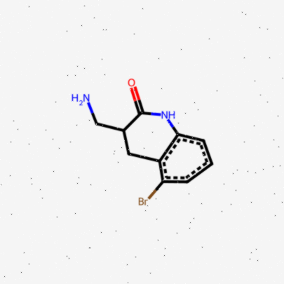 NCC1Cc2c(Br)cccc2NC1=O